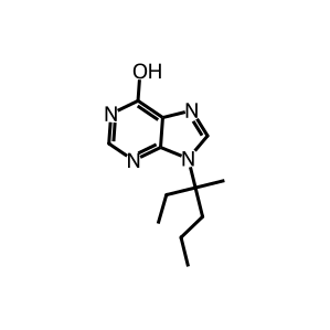 CCCC(C)(CC)n1cnc2c(O)ncnc21